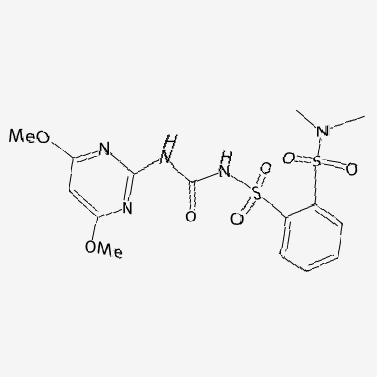 COc1cc(OC)nc(NC(=O)NS(=O)(=O)c2ccccc2S(=O)(=O)N(C)C)n1